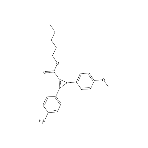 CCCCCOC(=O)C1=C(c2ccc(N)cc2)C1c1ccc(OC)cc1